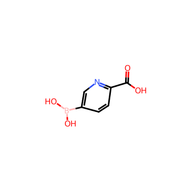 O=C(O)c1ccc(B(O)O)cn1